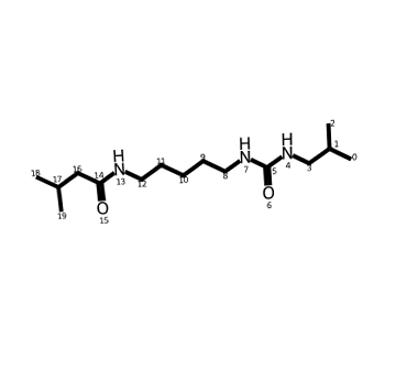 CC(C)CNC(=O)NCCCCCNC(=O)CC(C)C